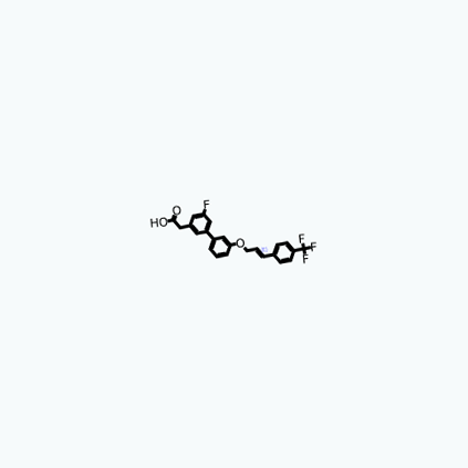 O=C(O)Cc1cc(F)cc(-c2cccc(OC/C=C/c3ccc(C(F)(F)F)cc3)c2)c1